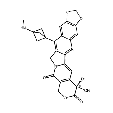 CC[C@@]1(O)C(=O)OCc2c1cc1n(c2=O)Cc2c-1nc1cc3c(cc1c2C12CC(NI)(C1)C2)OCO3